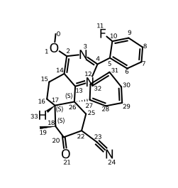 COc1nc(-c2ccccc2F)nc2c1CC[C@H]1[C@H](C)C(=O)C(C#N)C[C@]21c1ccccc1